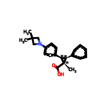 CC1(C)CN(c2ccc([C@H]3[C@H](c4ccccc4)[C@@]3(C)C(=O)O)cc2)C1